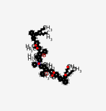 CCCCCCCCC1(CCCCCCC)c2ccccc2-c2ccc(-c3ccc4c(c3)C(C)(C)c3cc(-c5cc6c(c7oc8ccccc8c57)-c5ccc(N(c7ccccc7)c7ccc8c(c7)C(C)(C)c7cc(-c9ccc%10c(c9)C(C)(C)c9cc(-c%11ccc%12c(c%11)C(CCCCCCCC)(CCCCCCCC)c%11ccccc%11-%12)ccc9-%10)c9oc%10ccccc%10c9c7-8)cc5C6(C)C)ccc3-4)cc21